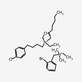 CCCCCCC[N+](CC)(CC)CCCCc1ccc(Cl)cc1.CC[N+](C)(C)Cc1ccccc1Br